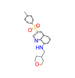 Cc1ccc(S(=O)(=O)c2cnc3c(NCC4CCOCC4)cccc3c2)cc1